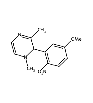 COc1ccc([N+](=O)[O-])c(C2C(C)=NC=CN2C)c1